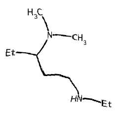 CCNCCC(CC)N(C)C